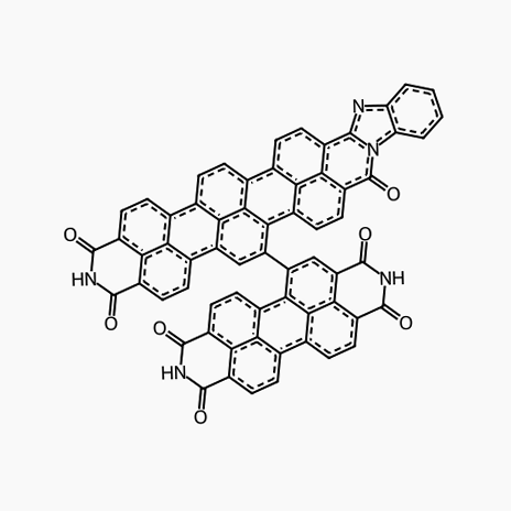 O=C1NC(=O)c2ccc3c4cc(-c5cc6c7c(ccc8c9ccc%10c%11c(ccc(c5c78)c%119)C(=O)NC%10=O)C(=O)NC6=O)c5c6ccc7c(=O)n8c9ccccc9nc8c8ccc(c9ccc(c%10ccc1c2c%103)c4c95)c6c78